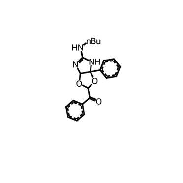 CCCCNC1=NC2OC(C(=O)c3ccccc3)OC2(c2ccccc2)N1